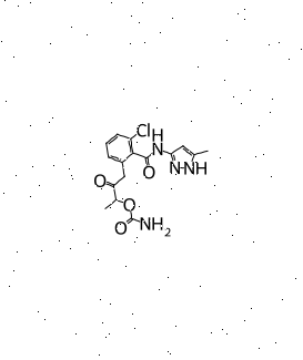 Cc1cc(NC(=O)c2c(Cl)cccc2CC(=O)C(C)OC(N)=O)n[nH]1